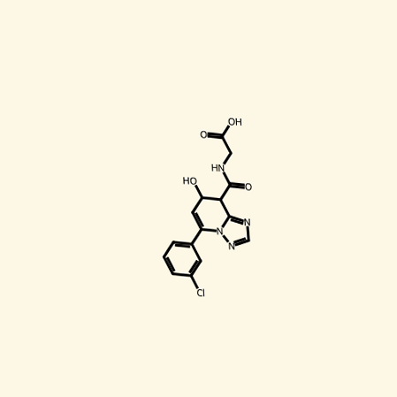 O=C(O)CNC(=O)C1c2ncnn2C(c2cccc(Cl)c2)=CC1O